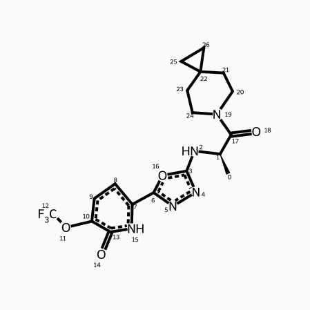 C[C@@H](Nc1nnc(-c2ccc(OC(F)(F)F)c(=O)[nH]2)o1)C(=O)N1CCC2(CC1)CC2